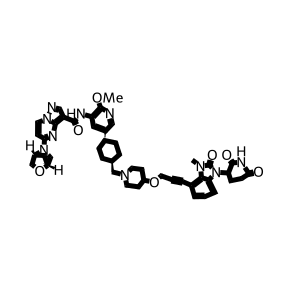 COc1ncc([C@H]2CC[C@H](CN3CCC(OCC#Cc4cccc5c4n(C)c(=O)n5C4CCC(=O)NC4=O)CC3)CC2)cc1NC(=O)c1cnn2ccc(N3C[C@H]4C[C@@H]3CO4)nc12